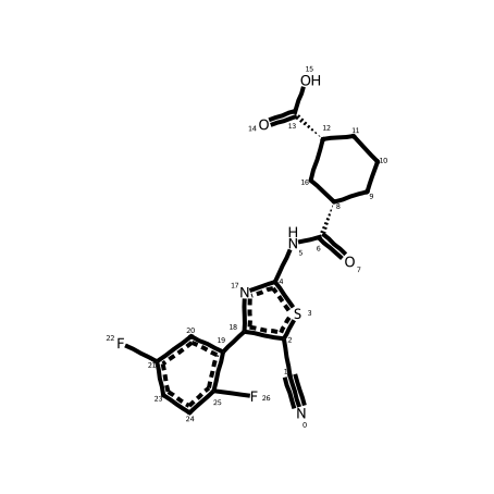 N#Cc1sc(NC(=O)[C@H]2CCC[C@@H](C(=O)O)C2)nc1-c1cc(F)ccc1F